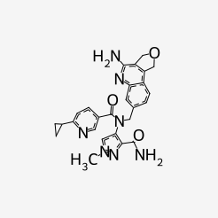 Cn1cc(N(Cc2ccc3c4c(c(N)nc3c2)COC4)C(=O)c2ccc(C3CC3)nc2)c(C(N)=O)n1